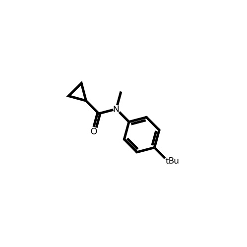 CN(C(=O)C1CC1)c1ccc(C(C)(C)C)cc1